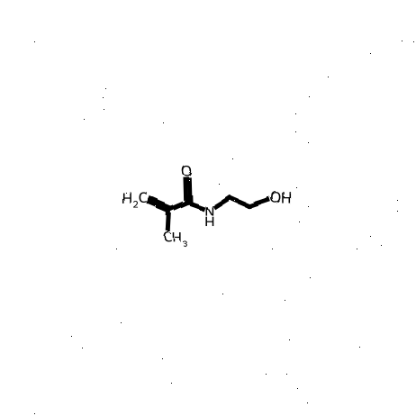 C=C(C)C(=O)NCCO